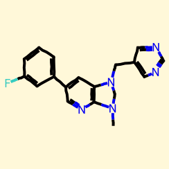 CN1CN(Cc2cncnc2)c2cc(-c3cccc(F)c3)cnc21